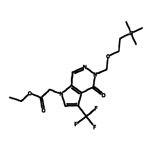 CCOC(=O)Cn1cc(C(F)(F)F)c2c(=O)n(COCC[Si](C)(C)C)ncc21